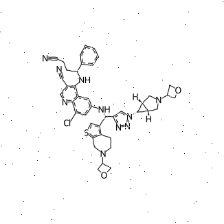 N#CCCC(Nc1c(C#N)cnc2c(Cl)cc(N[C@H](c3cn([C@@H]4[C@@H]5CN(C6COC6)C[C@@H]54)nn3)c3csc4c3CCN(C3COC3)C4)cc12)c1ccccc1